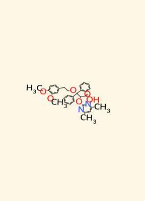 COc1ccc(CCOC(c2ccccc2)(c2ccccc2)[C@H](Oc2nc(C)cc(C)n2)C(=O)O)cc1OC